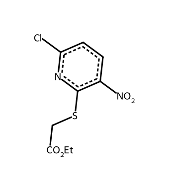 CCOC(=O)CSc1nc(Cl)ccc1[N+](=O)[O-]